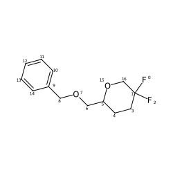 FC1(F)CCC(COCc2ccccc2)OC1